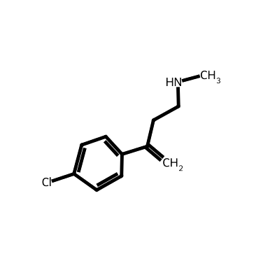 C=C(CCNC)c1ccc(Cl)cc1